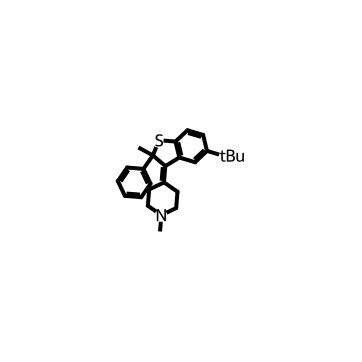 CN1CCC(=C2c3cc(C(C)(C)C)ccc3SC2(C)c2ccccc2)CC1